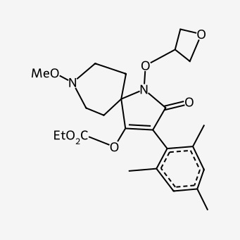 CCOC(=O)OC1=C(c2c(C)cc(C)cc2C)C(=O)N(OC2COC2)C12CCN(OC)CC2